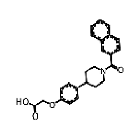 O=C(O)COc1ccc(C2CCN(C(=O)c3ccc4ccccc4c3)CC2)cc1